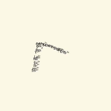 [BH2][Pm].[Be+2].[Dy+3].[Er+3].[Eu+3].[Ga+3].[Gd+3].[Ho+3].[In+3].[La+3].[Mg+2].[Nd+3].[Pr+3].[Sc+3].[Sm+3].[Tb+3].[Tm+3].[Y+3].[Yb+3]